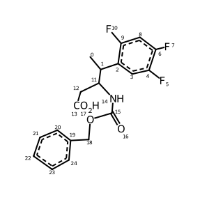 CC(c1cc(F)c(F)cc1F)C(CC(=O)O)NC(=O)OCc1ccccc1